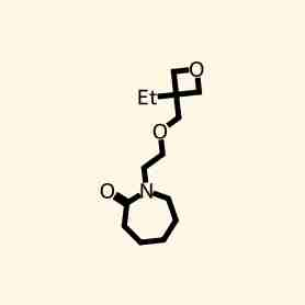 CCC1(COCCN2CCCCCC2=O)COC1